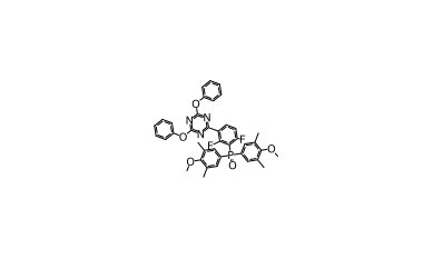 COc1c(C)cc(P(=O)(c2cc(C)c(OC)c(C)c2)c2c(F)ccc(-c3nc(Oc4ccccc4)nc(Oc4ccccc4)n3)c2F)cc1C